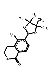 Cc1c(B2OC(C)(C)C(C)(C)O2)ccc2c1CCNC2=O